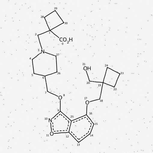 O=C(O)C1(CN2CCC(COc3noc4cccc(OCC5(CO)CCC5)c34)CC2)CCC1